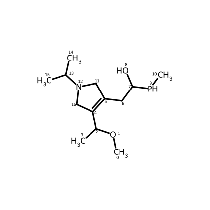 COC(C)C1=C(CC(O)PC)CN(C(C)C)C1